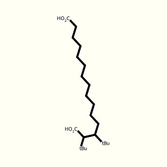 CC(C)(C)C(CCCCCCCCCCCC(=O)O)C(C(=O)O)C(C)(C)C